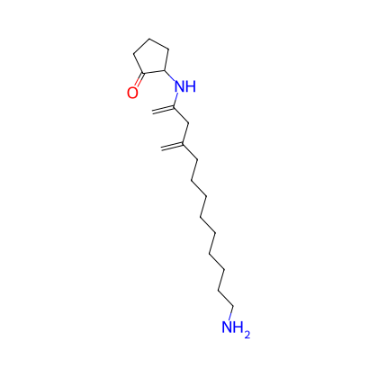 C=C(CCCCCCCCCN)CC(=C)NC1CCCC1=O